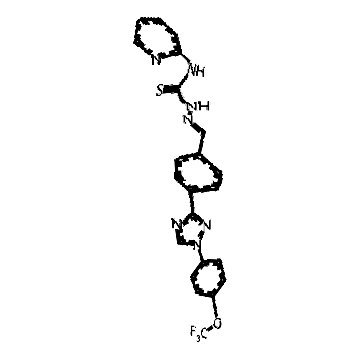 FC(F)(F)Oc1ccc(-n2cnc(-c3ccc(/C=N/NC(=S)Nc4ccccn4)cc3)n2)cc1